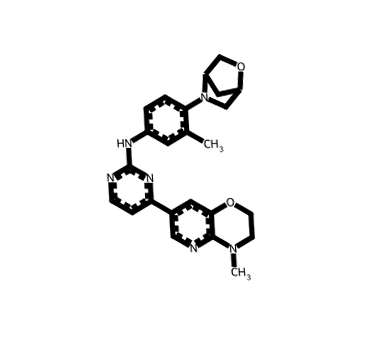 Cc1cc(Nc2nccc(-c3cnc4c(c3)OCCN4C)n2)ccc1N1CC2CC1CO2